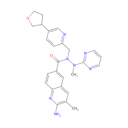 Cc1cc2cc(C(=O)N(Cc3ccc(C4CCOC4)cn3)N(C)c3ncccn3)ccc2nc1N